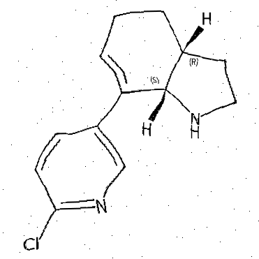 Clc1ccc(C2=CCC[C@@H]3CCN[C@H]23)cn1